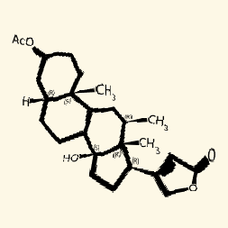 CC(=O)OC1CC[C@]2(C)C3C[C@@H](C)[C@]4(C)[C@@H](C5=CC(=O)OC5)CC[C@]4(O)C3CC[C@@H]2C1